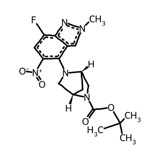 Cn1cc2c(N3C[C@@H]4C[C@H]3CN4C(=O)OC(C)(C)C)c([N+](=O)[O-])cc(F)c2n1